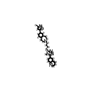 Cc1cc(-c2ccc3c(c2)CCN(CCCSc2nnc(-c4ccc5ncccc5c4)n2C)CC3)on1